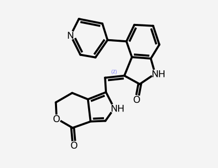 O=C1Nc2cccc(-c3ccncc3)c2/C1=C/c1[nH]cc2c1CCOC2=O